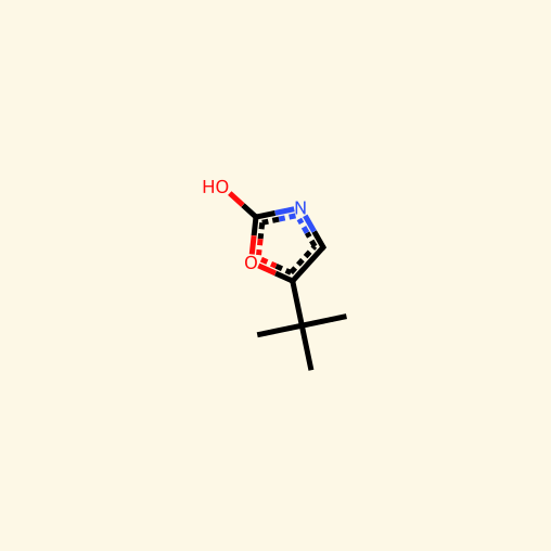 CC(C)(C)c1cnc(O)o1